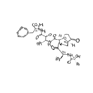 CCCC(NC(=O)C1[C@H]2CCC(=O)[C@H]2CN1C(=O)[C@@H](NC(=O)[C@H](O)C(C)C)C(C)C)C(=O)C(=O)N[C@@H](Cc1ccccc1)C(=O)O